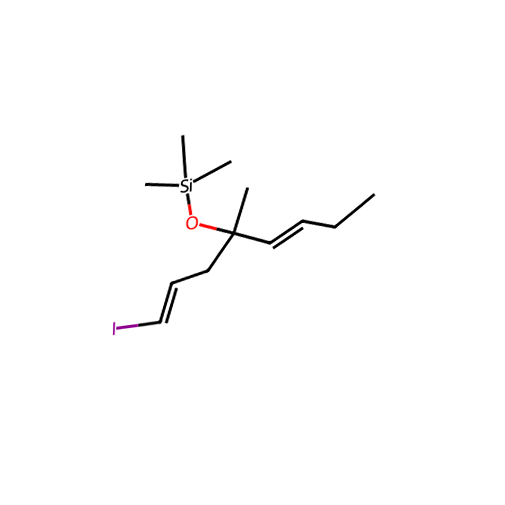 CCC=CC(C)(CC=CI)O[Si](C)(C)C